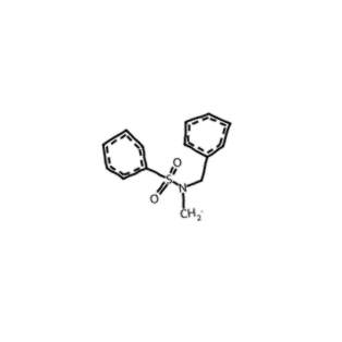 [CH2]N(Cc1ccccc1)S(=O)(=O)c1ccccc1